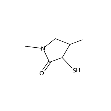 CC1CN(C)C(=O)C1S